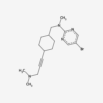 CN(C)CC#CC1CCC(CN(C)c2ncc(Br)cn2)CC1